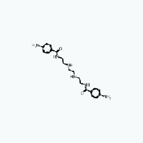 Nc1ccc(C(=O)NCCNCCNCCNC(=O)c2ccc(N)cc2)cc1